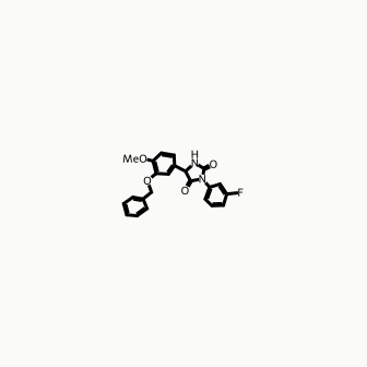 COc1ccc(C2NC(=O)N(c3cccc(F)c3)C2=O)cc1OCc1ccccc1